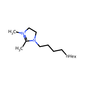 CCCCCCCCCCN1CC[N+](C)=C1C